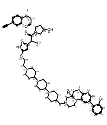 C#Cc1ccc([C@H](C)NC(=O)[C@@H]2C[C@@H](O)CN2C(=O)C(c2cc(OCCN3CCC(N4CCC(N5CCC(CN6CCN7c8cc(-c9ccccc9O)nnc8NC[C@H]7C6)CC5)CC4)CC3)no2)C(C)C)cc1